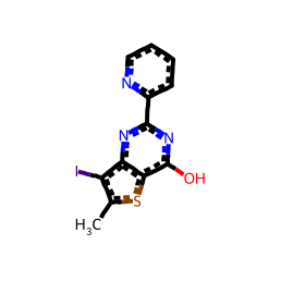 Cc1sc2c(O)nc(-c3ccccn3)nc2c1I